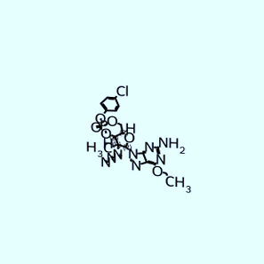 CCOc1nc(N)nc2c1ncn2[C@@H]1O[C@@H]2COP(=O)(Oc3ccc(Cl)cc3)O[C@H]2[C@@]1(C)N=[N+]=[N-]